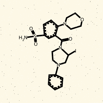 NS(=O)(=O)c1ccc(N2CCOCC2)c(C(=O)N2CCN(c3ccccc3)CC2I)c1